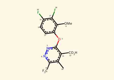 COc1c(Oc2nnc(C(F)(F)F)c(C)c2C(=O)O)ccc(F)c1F